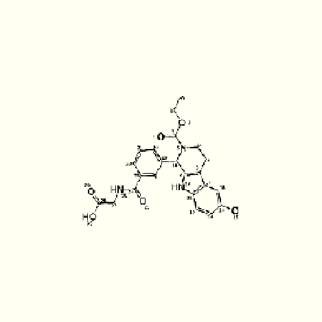 CCOC(=O)N1CCc2c([nH]c3ccc(Cl)cc23)C1c1cccc(C(=O)NCC(=O)O)c1